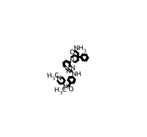 CN1CCC(N(C)C(=O)c2ccc(Nc3nc4c(N5CCC(CC(N)=O)(c6ccccc6)CC5)cccn4n3)cc2)CC1